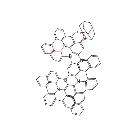 c1ccc(-c2cc3c4c(c2)N(c2c(-c5ccccc5)cccc2-c2ccccc2)c2cc5c(cc2B4c2ccccc2N3c2c(-c3ccccc3)cccc2-c2ccccc2)B2c3ccccc3N(c3c(-c4ccccc4)cccc3-c3ccccc3)c3cc(N4C6CC7CC(C6)CC4C7)cc(c32)N5c2ccccc2)cc1